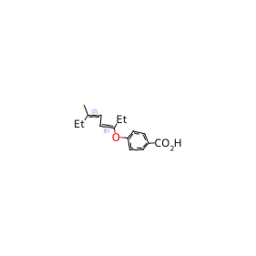 CC/C(C)=C\C=C(/CC)Oc1ccc(C(=O)O)cc1